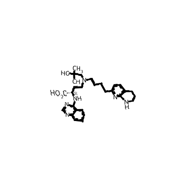 CC(C)(O)CN(CCCCc1ccc2c(n1)NCCC2)CC[C@H](Nc1ncnc2ccccc12)C(=O)O